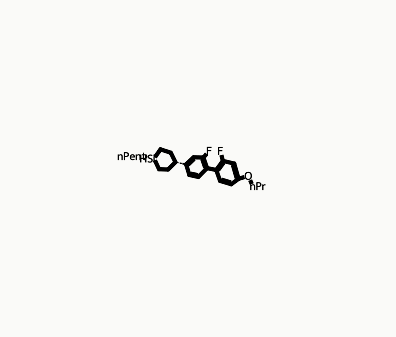 CCCCC[Si@H]1CC[C@H](c2ccc(-c3ccc(OCCC)cc3F)c(F)c2)CC1